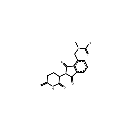 C=C1CCC(N2C(=O)c3cccc(CN(C)C(=O)CC)c3C2=O)C(=O)N1